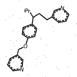 CC(C)[C](CCc1cccnc1)c1ccc(OCc2cccnc2)cc1